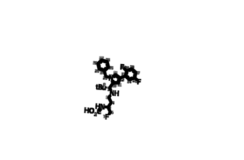 CC(C)(C)[C@@H](NCCC(CF)NC(=O)O)c1cc(-c2cc(F)ccc2F)cn1Cc1ccccc1